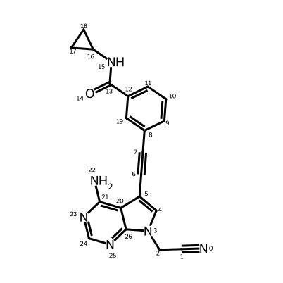 N#CCn1cc(C#Cc2cccc(C(=O)NC3CC3)c2)c2c(N)ncnc21